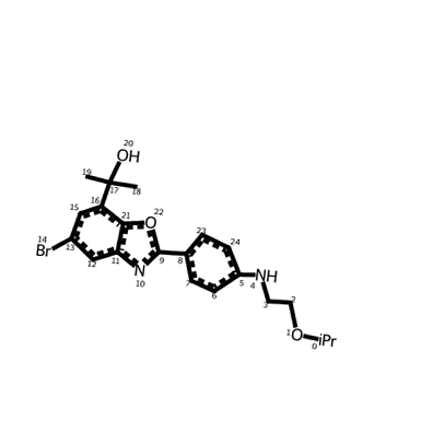 CC(C)OCCNc1ccc(-c2nc3cc(Br)cc(C(C)(C)O)c3o2)cc1